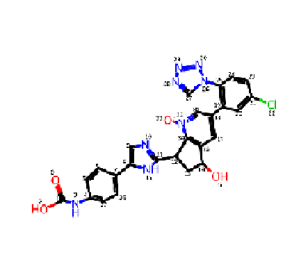 O=C(O)Nc1ccc(-c2cnc(C3CC(O)c4cc(-c5cc(Cl)ccc5-n5cnnn5)c[n+]([O-])c43)[nH]2)cc1